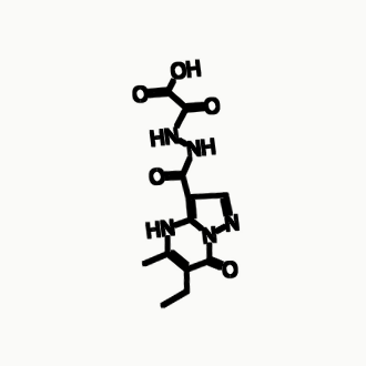 CCc1c(C)[nH]c2c(C(=O)NNC(=O)C(=O)O)cnn2c1=O